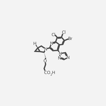 O=C(O)CCOC[C@@H]1C2C[C@@H]2CN1c1cc(-n2cncn2)c2cc(Br)c(Cl)c(Cl)c2n1